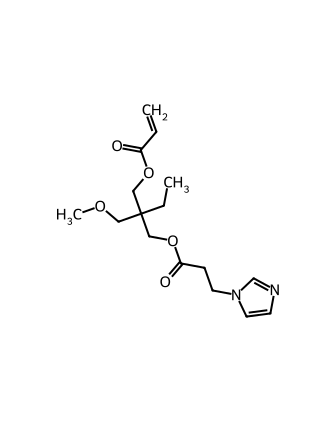 C=CC(=O)OCC(CC)(COC)COC(=O)CCn1ccnc1